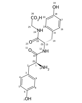 N[C@@H](Cc1ccc(O)cc1)C(=O)N[C@@H](Cc1ccc(O)cc1)C(=O)NCC(=O)O